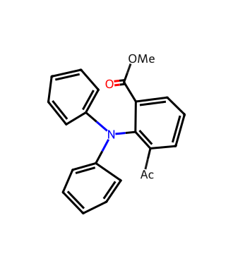 COC(=O)c1cccc(C(C)=O)c1N(c1ccccc1)c1ccccc1